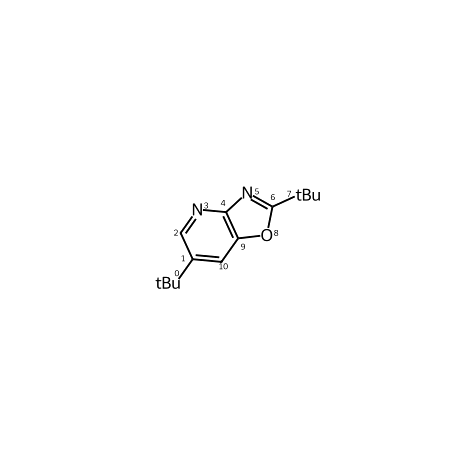 CC(C)(C)c1cnc2nc(C(C)(C)C)oc2c1